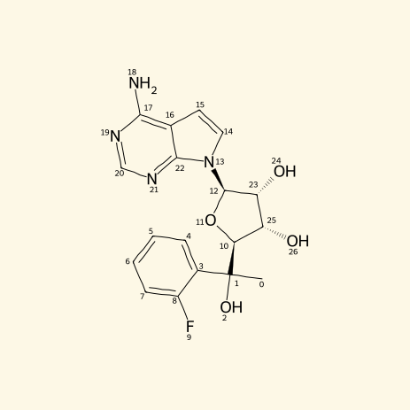 CC(O)(c1ccccc1F)[C@H]1O[C@@H](n2ccc3c(N)ncnc32)[C@H](O)[C@@H]1O